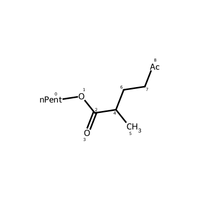 CCCCCOC(=O)C(C)CCC(C)=O